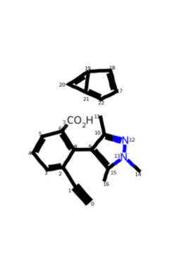 C#Cc1cccc(C(=O)O)c1-c1c(C)nn(C)c1C.c1cc2cc-2c1